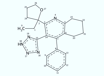 CCC1(c2nc3c(c(-c4ccccc4)c2-c2nn[nH]n2)CCCC3)CCCO1